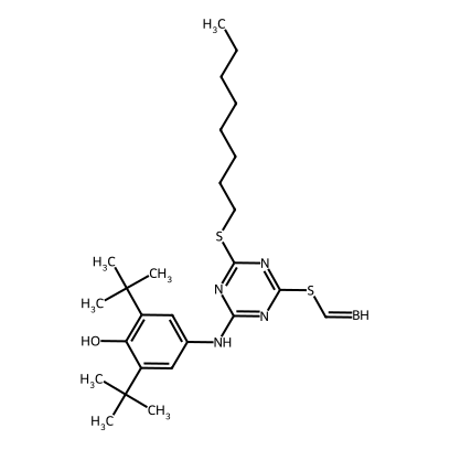 B=CSc1nc(Nc2cc(C(C)(C)C)c(O)c(C(C)(C)C)c2)nc(SCCCCCCCC)n1